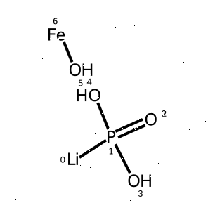 [Li][P](=O)(O)O.[OH][Fe]